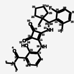 CN(C)C(=O)c1nccc(Nc2c(N[C@@H](c3c(F)cccc3F)C3(C)CCCC3)c(=O)c2=O)c1O